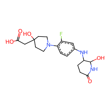 O=C(O)CC1(O)CCN(c2ccc(NC3CCC(=O)NC3O)cc2F)CC1